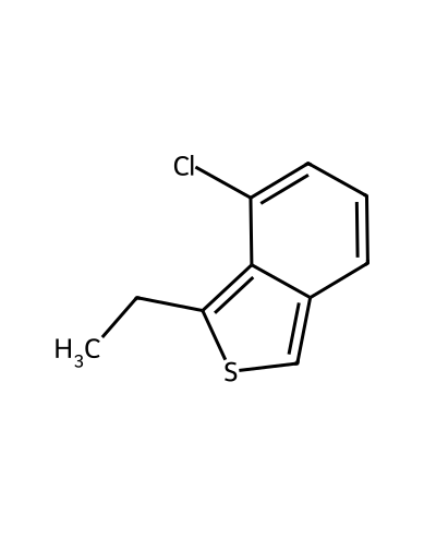 CCc1scc2cccc(Cl)c12